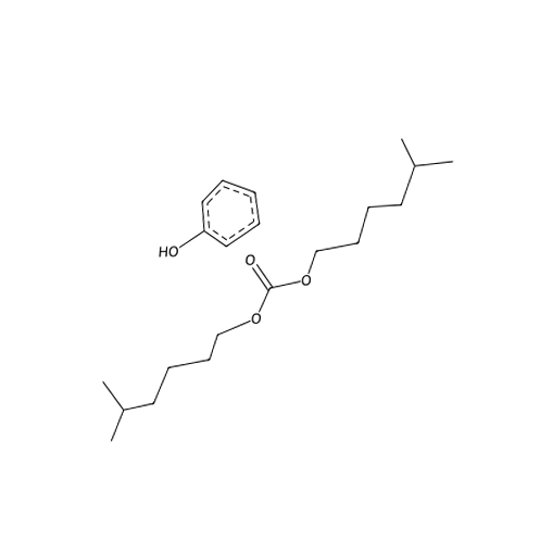 CC(C)CCCCOC(=O)OCCCCC(C)C.Oc1ccccc1